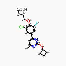 Cc1cc(-c2cc(F)c(OCCCC(=O)O)c(Cl)c2)nc(OC2CCC2)n1